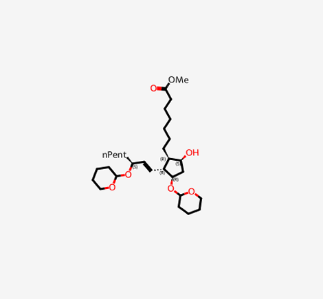 CCCCC[C@@H](C=C[C@@H]1[C@@H](CCCCCCC(=O)OC)[C@@H](O)C[C@H]1OC1CCCCO1)OC1CCCCO1